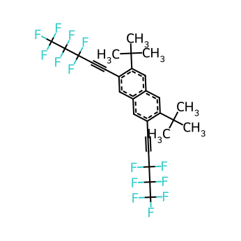 CC(C)(C)c1cc2cc(C(C)(C)C)c(C#CC(F)(F)C(F)(F)C(F)(F)F)cc2cc1C#CC(F)(F)C(F)(F)C(F)(F)F